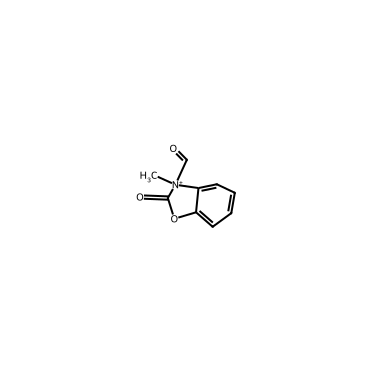 C[N+]1(C=O)C(=O)Oc2ccccc21